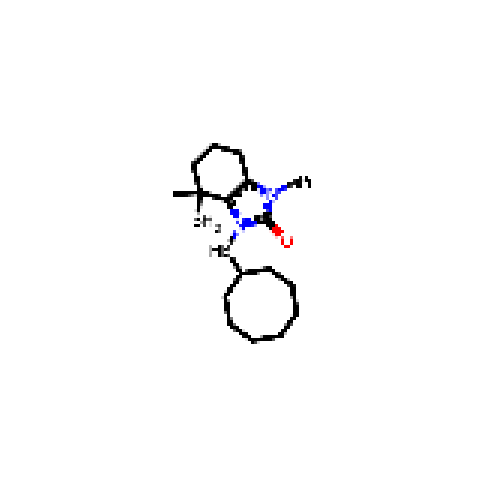 BC1(C)CCCc2c1n(BC1CCCCCCC1)c(=O)n2C(C)C